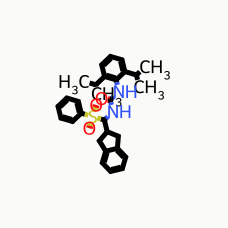 CC(C)c1cccc(C(C)C)c1NC(=O)NC(C1Cc2ccccc2C1)S(=O)(=O)c1ccccc1